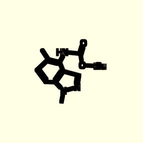 Cc1ccc2c(cnn2C)c1NC(=O)OC(C)(C)C